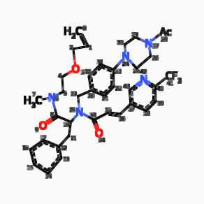 C=CCOCCN(C)C(=O)C(Cc1ccccc1)N(Cc1ccc(N2CCN(C(C)=O)CC2)cc1)C(=O)C=Cc1ccc(C(F)(F)F)nc1